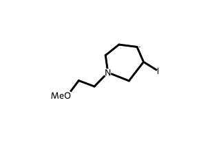 COCCN1CC[CH]C(I)C1